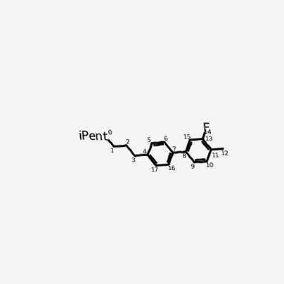 CCCC(C)CCCc1ccc(-c2ccc(C)c(F)c2)cc1